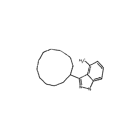 Cc1cccc2c1C(C1CCCCCCCCCCC1)=N[N]2